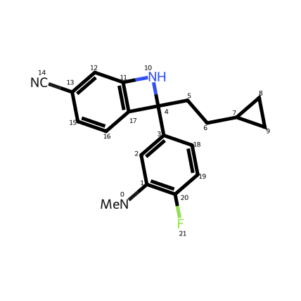 CNc1cc(C2(CCC3CC3)Nc3cc(C#N)ccc32)ccc1F